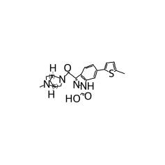 Cc1ccc(-c2ccc3c(C(=O)N4C[C@@H]5C[C@H]4CN5C)n[nH]c3c2)s1.O=CO